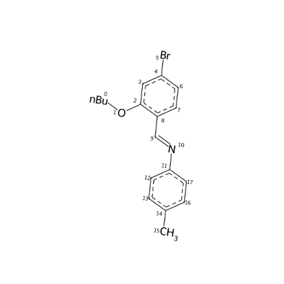 CCCCOc1cc(Br)ccc1/C=N/c1ccc(C)cc1